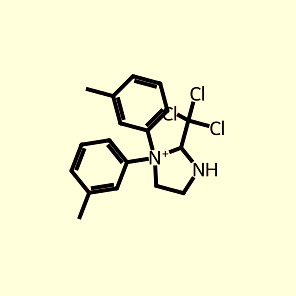 Cc1cccc([N+]2(c3cccc(C)c3)CCNC2C(Cl)(Cl)Cl)c1